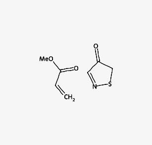 C=CC(=O)OC.O=C1C=NSC1